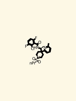 CCCS(=O)(=O)N1CCC(c2cccc(C)n2)([C@H](C)NC(=O)c2c(F)ccc(F)c2Cl)CC1